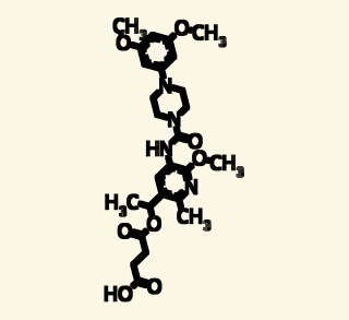 COc1cc(OC)cc(N2CCN(C(=O)Nc3cc(C(C)OC(=O)CCC(=O)O)c(C)nc3OC)CC2)c1